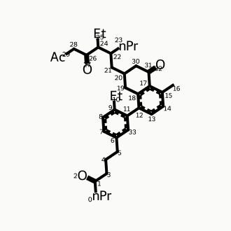 CCCC(=O)CCCc1ccc(CC)c(-c2ccc(C)c3c2CC(CC(CCC)C(CC)C(=O)CC(C)=O)CC3=O)c1